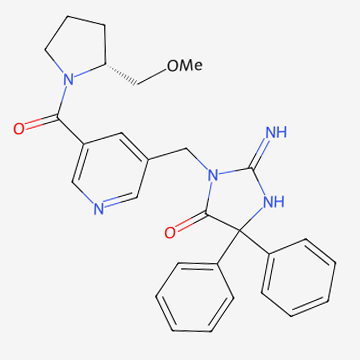 COC[C@H]1CCCN1C(=O)c1cncc(CN2C(=N)NC(c3ccccc3)(c3ccccc3)C2=O)c1